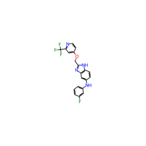 Fc1cccc(Nc2ccc3[nH]c(COc4ccnc(C(F)(F)F)c4)nc3c2)c1